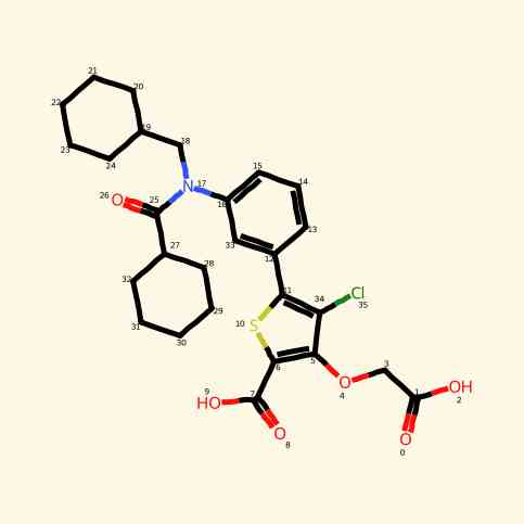 O=C(O)COc1c(C(=O)O)sc(-c2cccc(N(CC3CCCCC3)C(=O)C3CCCCC3)c2)c1Cl